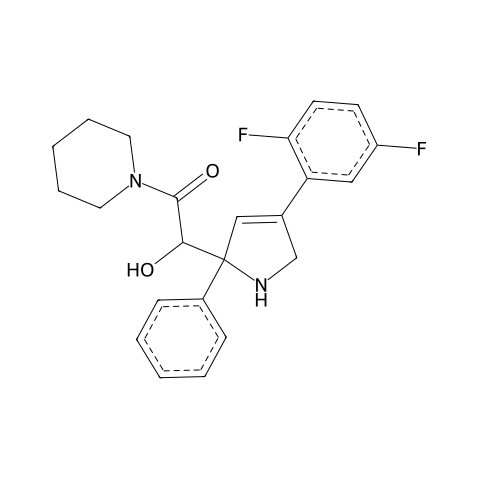 O=C(C(O)C1(c2ccccc2)C=C(c2cc(F)ccc2F)CN1)N1CCCCC1